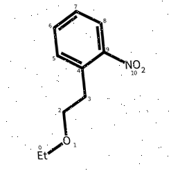 CCOCCc1ccccc1[N+](=O)[O-]